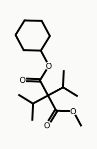 COC(=O)C(C(=O)OC1CCCCC1)(C(C)C)C(C)C